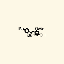 CCC(C)c1ccc(/C(C=O)=C/c2ccc(O)cc2OC)c(C(C)CC)c1